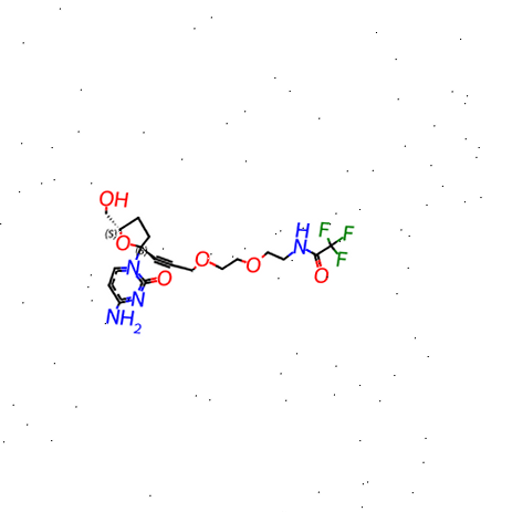 Nc1ccn([C@@]2(C#CCOCCOCCNC(=O)C(F)(F)F)CC[C@@H](CO)O2)c(=O)n1